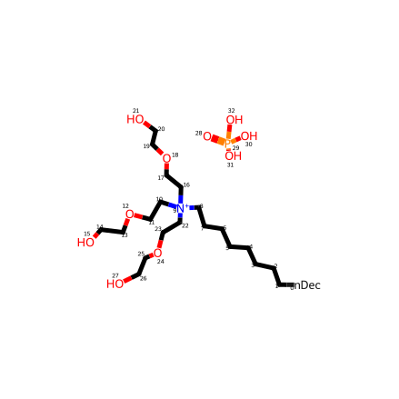 CCCCCCCCCCCCCCCCCC[N+](CCOCCO)(CCOCCO)CCOCCO.O=P(O)(O)O